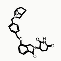 O=C1CCC(N2Cc3c(OCc4ccc(CN5CC6CCC(C5)O6)cc4)cccc3C2=O)C(=O)N1